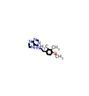 COc1ccc(CCNc2ncnc3nccnc23)c(C)c1C